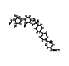 CCCCCC1COC(C2CCC(C3CCC(C(F)(F)Oc4ccc(-c5cc(F)c(CF)c(F)c5)c(F)c4)CC3)CC2)OC1